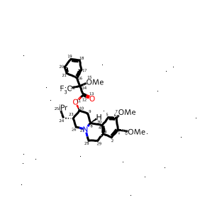 COc1cc2c(cc1OC)[C@H]1C[C@H](OC(=O)C(OC)(c3ccccc3)C(F)(F)F)[C@@H](CC(C)C)CN1CC2